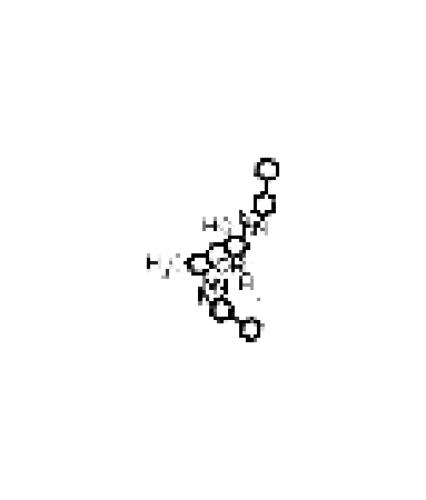 Cc1cc(Cc2cc(C)cc(-n3nc4ccc(-c5ccccc5)cc4n3)c2O)c(O)c(-n2nc3ccc(-c4ccccc4)cc3n2)c1